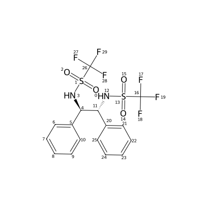 O=S(=O)(N[C@H](c1ccccc1)[C@H](NS(=O)(=O)C(F)(F)F)c1ccccc1)C(F)(F)F